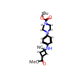 COC(=O)C1CC(C#N)(Nc2ccc(N3CCN(C(=O)OC(C)(C)C)CC3)cc2)C1